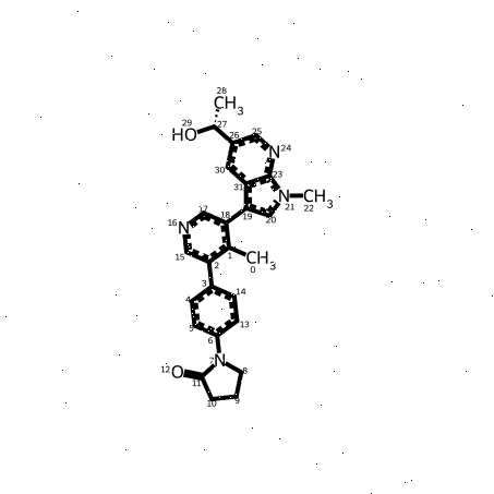 Cc1c(-c2ccc(N3CCCC3=O)cc2)cncc1-c1cn(C)c2ncc([C@@H](C)O)cc12